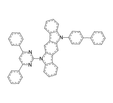 c1ccc(-c2ccc(-n3c4ccccc4c4cc5c(cc43)c3ccccc3n5-c3nc(-c4ccccc4)cc(-c4ccccc4)n3)cc2)cc1